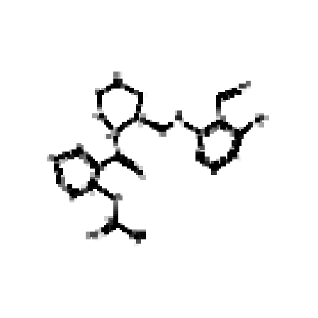 O=Cc1c(O)cccc1OC[C@@H]1COCCN1C(=O)c1ccccc1CC(=O)O